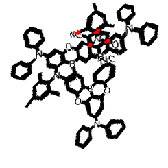 [C-]#[N+]c1ccc2c(c1)B1c3cc4c(cc3Oc3cc(N(c5ccccc5)c5ccccc5)cc(c31)O2)N(c1c(C)cc(C)cc1C)c1cc(N(c2ccccc2)c2ccccc2)cc2c1B4c1cc3c(cc1O2)N(c1c(C)cc(C)cc1C)c1cc(N(c2ccccc2)c2ccccc2)cc2c1B3c1cc(C#N)ccc1O2